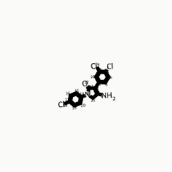 NC1=C(c2ccc(Cl)c(Cl)c2)C(=O)N(c2ccc(Cl)cc2)C1